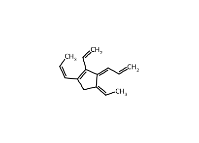 C=C/C=C1C(C=C)=C(/C=C\C)CC/1=C/C